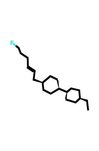 CC[C@H]1CC[C@H]([C@H]2CC[C@H](CC=CCCCF)CC2)CC1